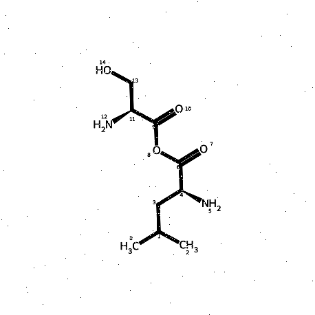 CC(C)C[C@H](N)C(=O)OC(=O)[C@@H](N)CO